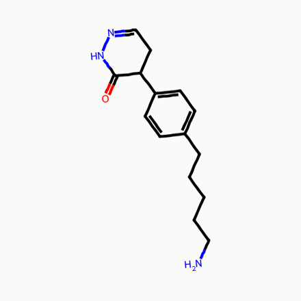 NCCCCCc1ccc(C2CC=NNC2=O)cc1